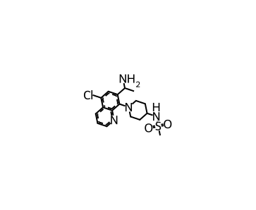 CC(N)c1cc(Cl)c2cccnc2c1N1CCC(NS(C)(=O)=O)CC1